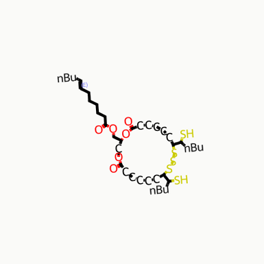 CCCC/C=C/CCCCCC(=O)OCC1COC(=O)CCCCCC(C(S)CCCC)SSSC(C(S)CCCC)CCCCCC(=O)O1